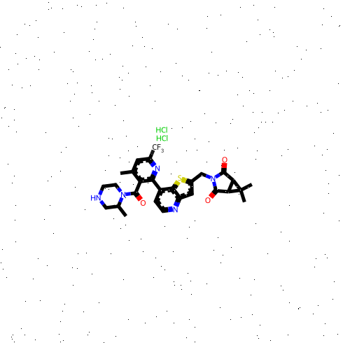 Cc1cc(C(F)(F)F)nc(-c2ccnc3cc(CN4C(=O)C5C(C4=O)C5(C)C)sc23)c1C(=O)N1CCNCC1C.Cl.Cl